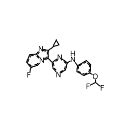 Fc1ccc2nc(C3CC3)c(-c3cncc(Nc4ccc(OC(F)F)cc4)n3)n2c1